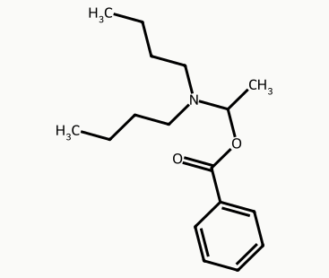 CCCCN(CCCC)C(C)OC(=O)c1ccccc1